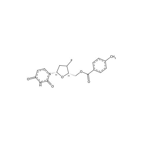 Cc1ccc(C(=O)OC[C@@H]2O[C@H](n3ccc(=O)[nH]c3=O)CC2F)cc1